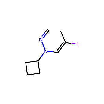 C=NN(/C=C(\C)I)C1CCC1